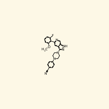 COc1cccc(F)c1-c1cc2c(N3CCN(c4ccc(C#N)cc4)CC3)n[nH]c2cn1